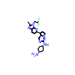 Cc1nc2ccc(-c3ccn4nc(N[C@H]5CC[C@H](N)CC5)ncc34)nc2n1CC(F)F